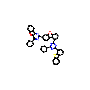 c1ccc(-c2nc(-c3cccc4c3sc3ccccc34)nc(-c3cccc4oc5cc(-c6nc(-c7ccccc7)c7oc8ccccc8c7n6)ccc5c34)n2)cc1